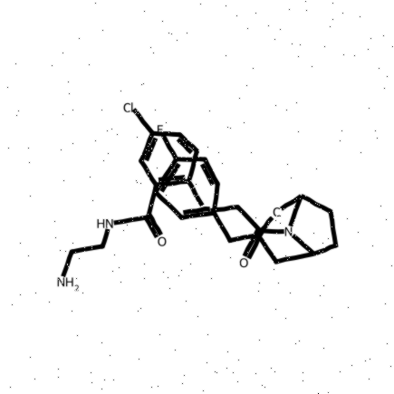 NCCNC(=O)c1cc(Cl)ccc1OCC(=O)N1C2CCC1CC(Cc1ccc(F)cc1)C2